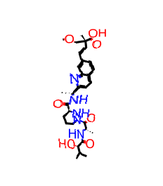 COC[C@@](C)(/C=C/c1ccc2ccc([C@@H](C)NC(=O)[C@@H]3CCCN(C(=O)[C@H](C)NC(=O)[C@@H](O)C(C)C)N3)nc2c1)C(=O)O